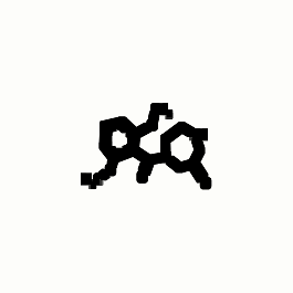 COc1cccc(OC)c1C(=O)N1CCNCC(=O)C1